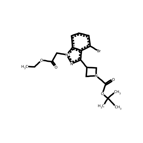 CCOC(=O)Cn1nc(C2CN(C(=O)OC(C)(C)C)C2)c2c(Br)cccc21